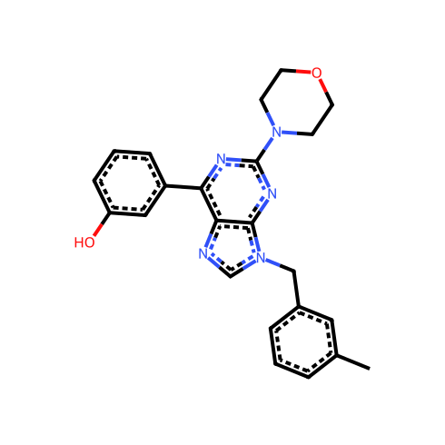 Cc1cccc(Cn2cnc3c(-c4cccc(O)c4)nc(N4CCOCC4)nc32)c1